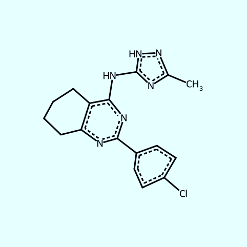 Cc1n[nH]c(Nc2nc(-c3ccc(Cl)cc3)nc3c2CCCC3)n1